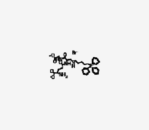 COC(=O)CNC(=O)C(C[SH]=CCCCC[P+](c1ccccc1)(c1ccccc1)c1ccccc1)NC(=O)CCC(N)C(=O)OC.[Br-]